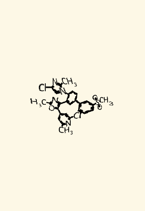 Cc1cc(-c2oc(C)nc2-c2cc(-c3cccc(S(C)(=O)=O)c3)ccc2-n2cc(Cl)nc2C)cc(Cl)n1